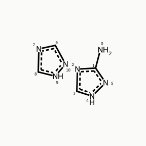 Nc1nc[nH]n1.c1nc[nH]n1